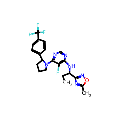 CCC(Nc1ncnc(N2CCCC2c2ccc(C(F)(F)F)cc2)c1F)c1noc(C)n1